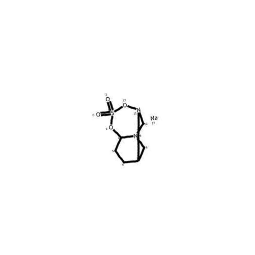 O=S1(=O)OC2CCC3CN2CN3O1.[Na]